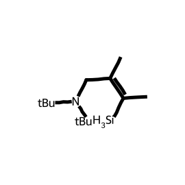 CC([SiH3])=C(C)CN(C(C)(C)C)C(C)(C)C